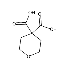 O=C(O)C1(C(=O)O)CCOCC1